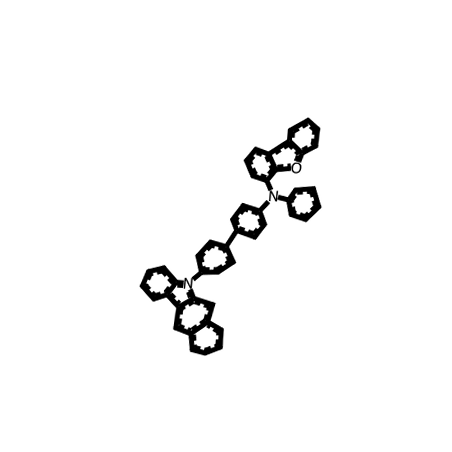 c1ccc(N(c2ccc(-c3ccc(-n4c5ccccc5c5cc6ccccc6cc54)cc3)cc2)c2cccc3c2oc2ccccc23)cc1